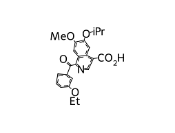 CCOc1cccc(C(=O)c2ncc(C(=O)O)c3cc(OC(C)C)c(OC)cc23)c1